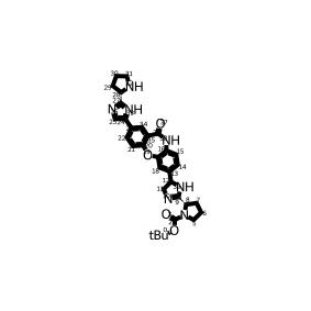 CC(C)(C)OC(=O)N1CCC[C@H]1C1=NCC(c2ccc3c(c2)Oc2ccc(-c4cnc([C@@H]5CCCN5)[nH]4)cc2C(=O)N3)N1